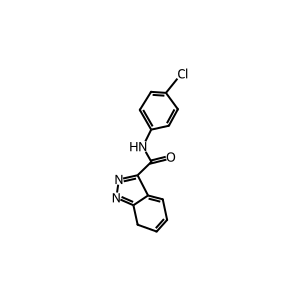 O=C(Nc1ccc(Cl)cc1)C1=NN=C2CC=CC=C21